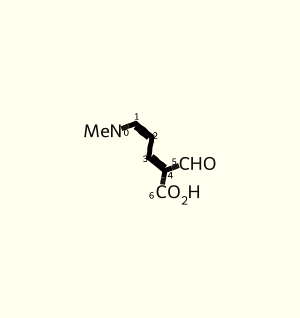 CN/C=C\C=C(/C=O)C(=O)O